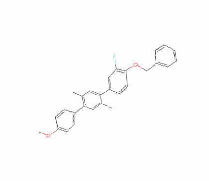 COc1ccc(-c2cc(C)c(-c3ccc(OCc4ccccc4)c(F)c3)cc2C)cc1